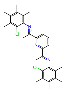 CC(=Nc1c(C)c(C)c(C)c(C)c1Cl)c1cccc(/C(C)=N/c2c(C)c(C)c(C)c(C)c2Cl)n1